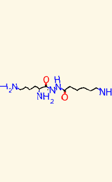 NCCCCCC(=O)N[N]C(=O)C(N)CCCCN